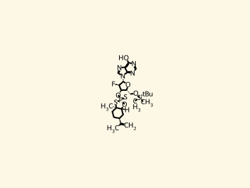 C=C(C)[C@H]1CC[C@@]2(C)SP(=S)(O[C@H]3[C@@H](F)[C@H](n4cnc5c(O)ncnc54)O[C@@H]3CO[Si](C)(C)C(C)(C)C)O[C@@H]2C1